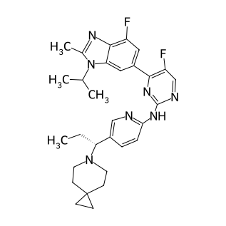 CC[C@H](c1ccc(Nc2ncc(F)c(-c3cc(F)c4nc(C)n(C(C)C)c4c3)n2)nc1)N1CCC2(CC1)CC2